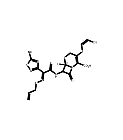 C=CCON=C(C(=O)NC1C(=O)N2C(C(=O)O)=C(S/C=C\C#N)CS[C@@H]12)c1nsc(N)n1